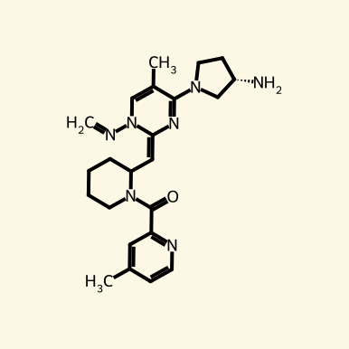 C=NN1C=C(C)C(N2CC[C@H](N)C2)=N/C1=C/C1CCCCN1C(=O)c1cc(C)ccn1